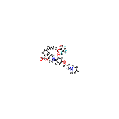 COc1ccc2c(c1)C1(CCN(c3ccc(OCCCN4CCCCC4)cc3)CC1)OC2=O.O=C(O)C(F)(F)F